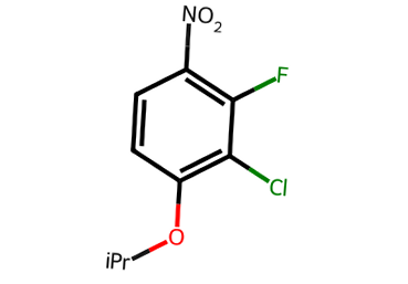 CC(C)Oc1ccc([N+](=O)[O-])c(F)c1Cl